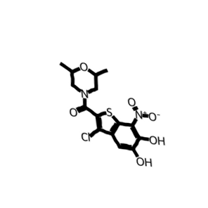 CC1CN(C(=O)c2sc3c([N+](=O)[O-])c(O)c(O)cc3c2Cl)CC(C)O1